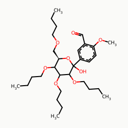 CCCCOC[C@H]1OC(O)(c2ccc(OC)c(C=O)c2)C(OCCCC)C(OCCCC)C1OCCCC